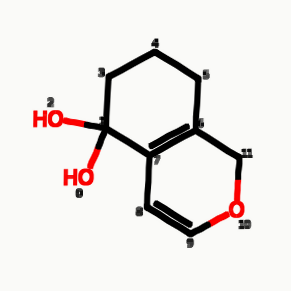 OC1(O)CCCC2=C1C=COC2